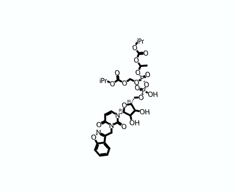 CC(C)OC(=O)OCOP(=O)(OC(C)OC(=O)OC(C)C)OP(=O)(O)OC[C@H]1O[C@@H](n2ccc(=O)n(Cc3noc4ccccc34)c2=O)C(O)C1O